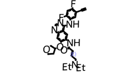 C#Cc1cc(Nc2ncnc3cc(OC4CCOC4)c(NC(=O)/C=C/CN(CC)CC)cc23)c(F)cc1F